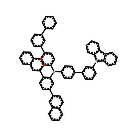 c1ccc(-c2cccc(-c3ccc(N(c4ccc(-c5cccc(-n6c7ccccc7c7ccccc76)c5)cc4)c4cc(-c5ccc6ccccc6c5)ccc4-c4ccc5ccccc5c4)cc3)c2)cc1